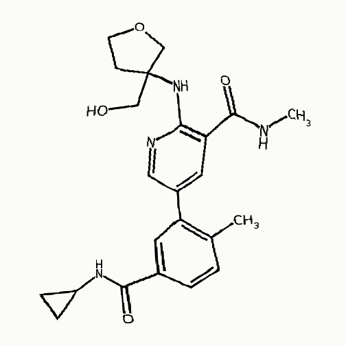 CNC(=O)c1cc(-c2cc(C(=O)NC3CC3)ccc2C)cnc1NC1(CO)CCOC1